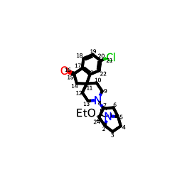 CCOC(=O)N1C2CCC1CC(N1CCC3(CC1)CC(=O)c1ccc(Cl)cc13)C2